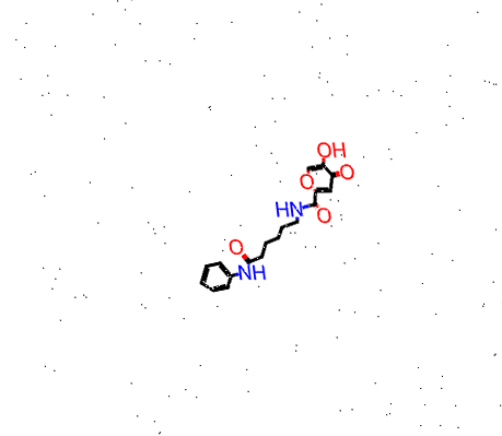 O=C(CCCCCNC(=O)c1cc(=O)c(O)co1)Nc1ccccc1